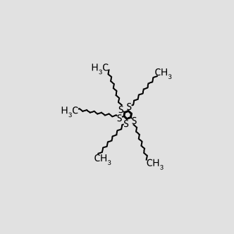 CCCCCCCCCCCCSc1cc(SCCCCCCCCCCCC)c(SCCCCCCCCCCCC)c(SCCCCCCCCCCCC)c1SCCCCCCCCCCCC